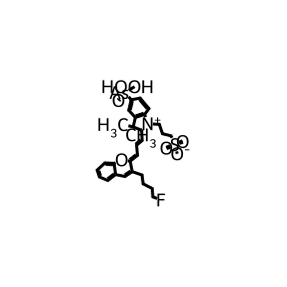 CC1(C)C(C=CC=C2Oc3ccccc3C=C2CCCCF)=[N+](CCCS(=O)(=O)[O-])c2ccc([As](=O)(O)O)cc21